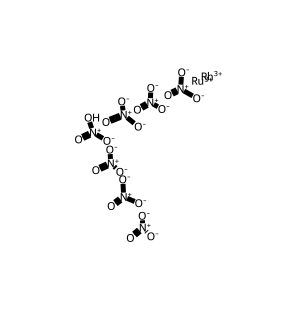 O=[N+]([O-])O.O=[N+]([O-])[O-].O=[N+]([O-])[O-].O=[N+]([O-])[O-].O=[N+]([O-])[O-].O=[N+]([O-])[O-].O=[N+]([O-])[O-].[Rh+3].[Ru+3]